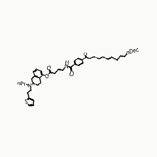 CCCCCCCCCCCCCCCCCCCC(=O)c1ccc(C(=O)NCCCC(=O)Oc2cccc3c2CC[C@H](N(CCC)CCc2cccs2)C3)cc1